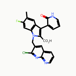 Cc1cc2c(-c3ccc[nH]c3=O)c(C(=O)O)n(Cc3cc4cccnc4nc3Cl)c2cc1F